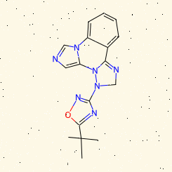 CC(C)(C)c1nc(N2CN=C3c4ccccc4-n4cncc4N32)no1